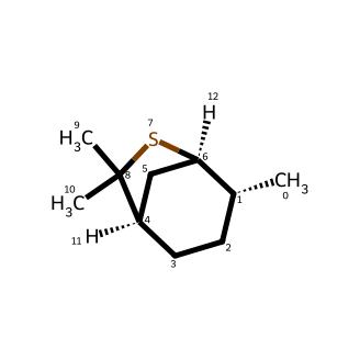 C[C@@H]1CC[C@@H]2C[C@H]1SC2(C)C